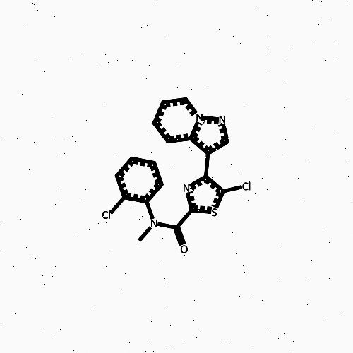 CN(C(=O)c1nc(-c2cnn3ccccc23)c(Cl)s1)c1ccccc1Cl